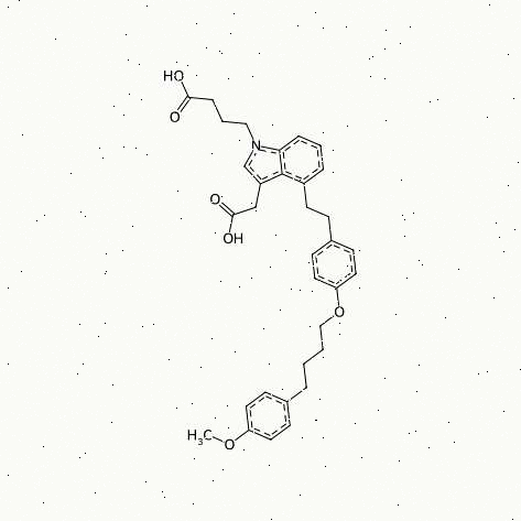 COc1ccc(CCCCOc2ccc(CCc3cccc4c3c(CC(=O)O)cn4CCCC(=O)O)cc2)cc1